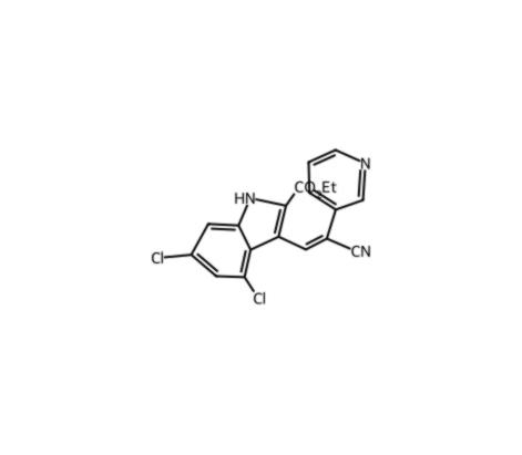 CCOC(=O)c1[nH]c2cc(Cl)cc(Cl)c2c1/C=C(/C#N)c1cccnc1